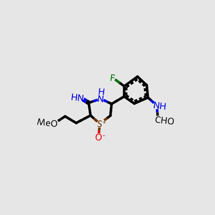 COCCC1C(=N)NC(c2cc(NC=O)ccc2F)C[S+]1[O-]